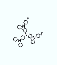 Fc1ccc(-n2c3ccccc3c3cc(N(c4ccc(N(c5ccccc5)c5ccccc5)cc4)c4ccc5c(c4)c4ccccc4n5-c4ccc(F)cc4)ccc32)cc1